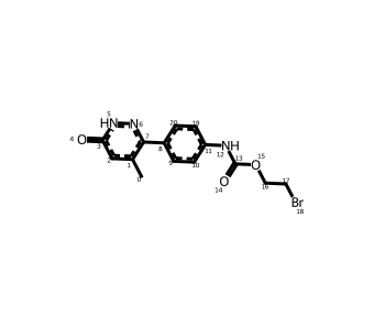 Cc1cc(=O)[nH]nc1-c1ccc(NC(=O)OCCBr)cc1